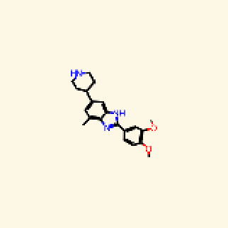 COc1ccc(-c2nc3c(C)cc(C4CCNCC4)cc3[nH]2)cc1OC